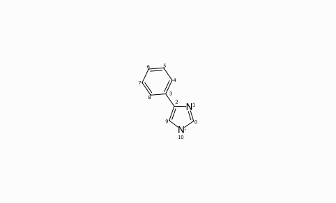 C1=NC(c2ccccc2)=C[N]1